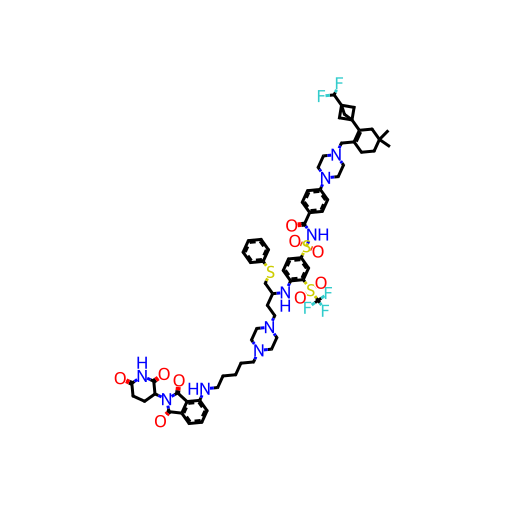 CC1(C)CCC(CN2CCN(c3ccc(C(=O)NS(=O)(=O)c4ccc(NC(CCN5CCN(CCCCCNc6cccc7c6C(=O)N(C6CCC(=O)NC6=O)C7=O)CC5)CSc5ccccc5)c(S(=O)(=O)C(F)(F)F)c4)cc3)CC2)=C(C23CC(C(F)F)(C2)C3)C1